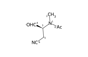 CC(=O)N(C)[C@H]([C]=O)CC#N